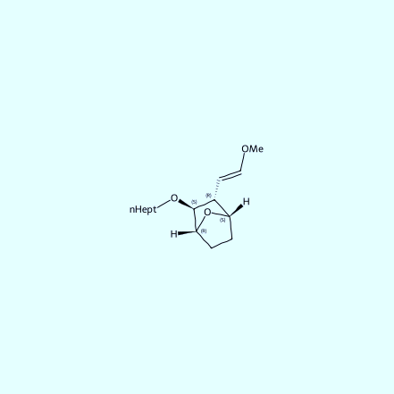 CCCCCCCO[C@H]1[C@H](C=COC)[C@@H]2CC[C@H]1O2